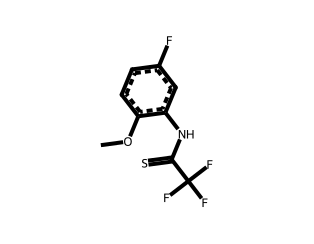 COc1ccc(F)cc1NC(=S)C(F)(F)F